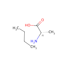 CCCC.C[C@H](N)C(=O)O